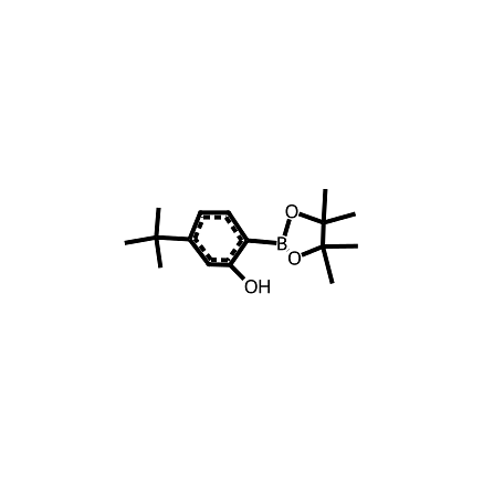 CC(C)(C)c1ccc(B2OC(C)(C)C(C)(C)O2)c(O)c1